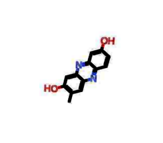 Cc1cc2nc3ccc(O)cc3nc2cc1O